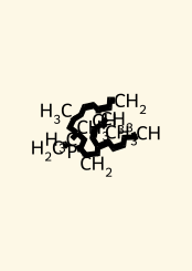 C#CC\C=C/C=C(/C=C\C(C)C)CC(=C)/C(CC(C)(C)CC(C)C/C=C\C(C)=C/C=C)=P/C=C